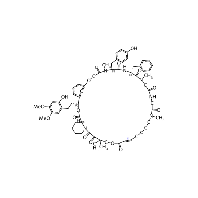 COc1cc(O)c(CC[C@H]2OC(=O)[C@@H]3CCCCN3C(=O)C(=O)C(C)(C)COC(=O)/C=C/CCCCN(C)C(=O)CNC(=O)CN(C)C(=O)[C@@H](Cc3ccccc3)NC(=O)[C@H](Cc3ccc(O)cc3)N(C)C(=O)COc3cccc2c3)cc1OC